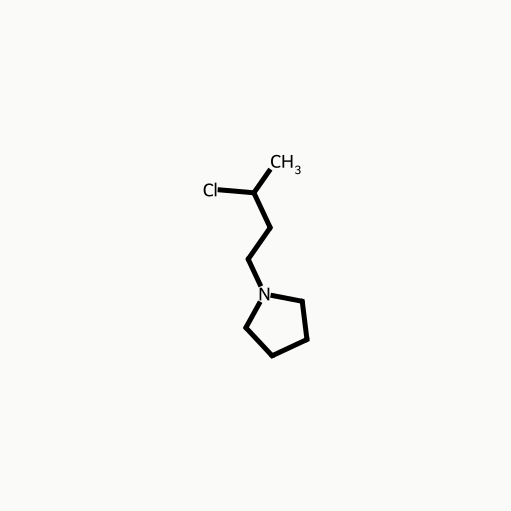 CC(Cl)CCN1CCCC1